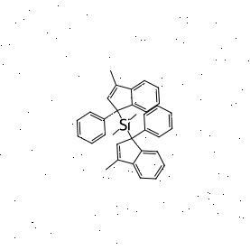 CC1=CC(c2ccccc2)([Si](C)(C)C2(c3ccccc3)C=C(C)c3ccccc32)c2ccccc21